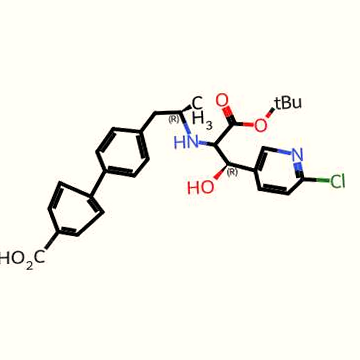 C[C@H](Cc1ccc(-c2ccc(C(=O)O)cc2)cc1)NC(C(=O)OC(C)(C)C)[C@H](O)c1ccc(Cl)nc1